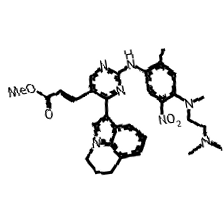 COC(=O)C=Cc1cnc(Nc2cc([N+](=O)[O-])c(N(C)CCN(C)C)cc2C)nc1-c1cn2c3c(cccc13)CCC2